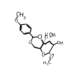 COc1ccc(C2OCC3O[C@@H](OC)C(O)[C@@H](O)[C@@H]3O2)cc1